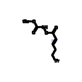 CC(C)CC/C=C/C(=O)ONC(=O)OC(C)(C)C